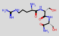 N=C(N)NCCC[C@@H](N)C(=O)N[C@H](CO)C(=O)N[C@H](CO)C(N)=O